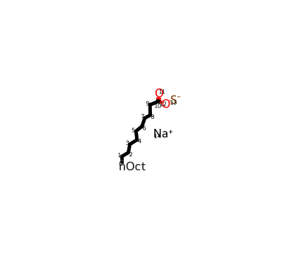 CCCCCCCCCCCCCCCCCC(=O)O[S-].[Na+]